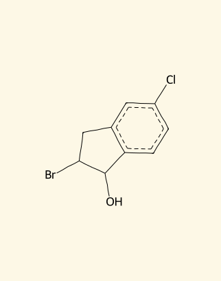 OC1c2ccc(Cl)cc2CC1Br